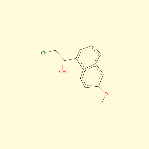 COc1ccc2c([C@H](O)CCl)cccc2c1